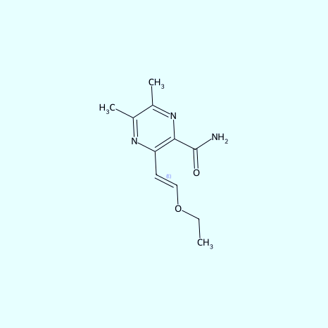 CCO/C=C/c1nc(C)c(C)nc1C(N)=O